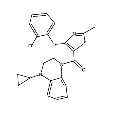 Cc1nc(Oc2ccccc2Cl)c(C(=O)N2CCN(C3CC3)c3ccccc32)s1